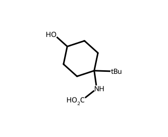 CC(C)(C)C1(NC(=O)O)CCC(O)CC1